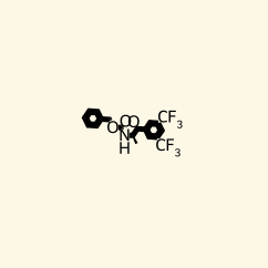 C[C@@H](NC(=O)OCc1ccccc1)C(=O)c1cc(C(F)(F)F)cc(C(F)(F)F)c1